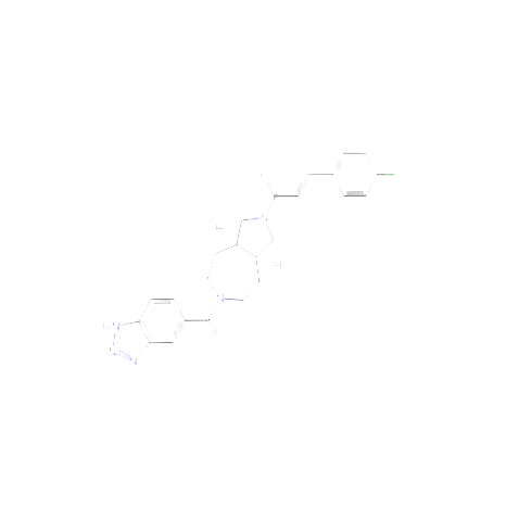 O=C(/C=C/c1ccc(Cl)cc1)N1C[C@H]2CCN(C(=O)c3ccc4[nH]nnc4c3)CC[C@H]2C1